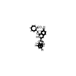 Cc1ccc(CC(NC(=O)OC[C@@H]2CCCCCN2C(=O)O)B2O[C@@H]3C[C@@H]4C[C@@H](C4(C)C)[C@]3(C)O2)cc1